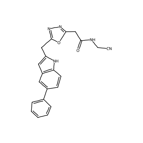 N#CCNC(=O)Cc1nnc(Cc2cc3cc(-c4ccccc4)ccc3[nH]2)o1